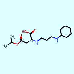 CC(C)OC(=O)C[C@H](NCCCNC1CCCCC1)C(=O)O